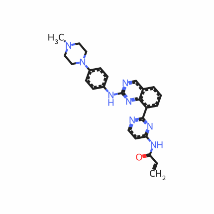 C=CC(=O)Nc1ccnc(-c2cccc3cnc(Nc4ccc(N5CCN(C)CC5)cc4)nc23)n1